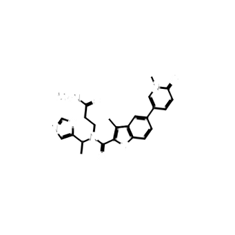 CNC(=O)CCN(C(=O)c1sc2ccc(-c3ccc(=O)n(C)c3)cc2c1C)C(C)c1cnco1